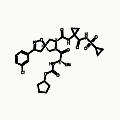 CC(C)(C)[C@H](NC(=O)OC1CCCC1)C(=O)N1C[C@@]2(CC(c3cccc(Cl)c3)=NO2)C[C@H]1C(=O)NC1(C(=O)NS(=O)(=O)C2CC2)CC1